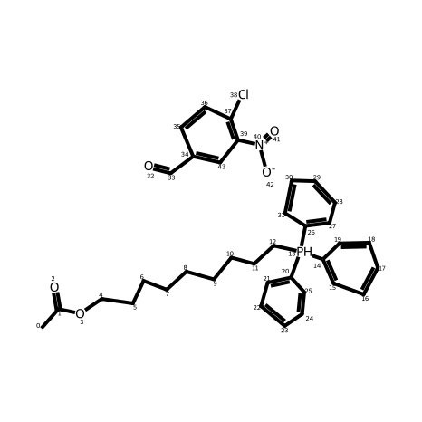 CC(=O)OCCCCCCCCC[PH](c1ccccc1)(c1ccccc1)c1ccccc1.O=Cc1ccc(Cl)c([N+](=O)[O-])c1